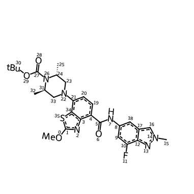 COc1nc2c(C(=O)Nc3cc(F)c4nn(C)cc4c3)ccc(N3C[C@@H](C)N(C(=O)OC(C)(C)C)[C@H](C)C3)c2s1